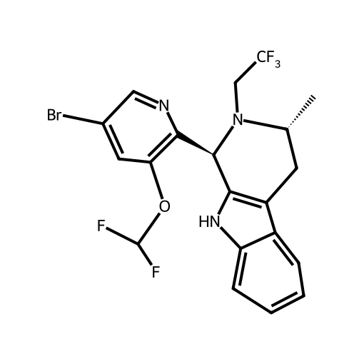 C[C@@H]1Cc2c([nH]c3ccccc23)[C@@H](c2ncc(Br)cc2OC(F)F)N1CC(F)(F)F